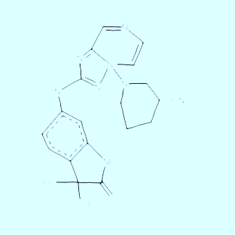 CC1(C)C(=O)Nc2cc(NC3=N[N+]4(N5CCC[C@@H](N)C5)C=CN=CC4=N3)ccc21